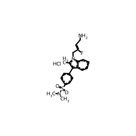 Cc1c(-c2ccc(S(=O)(=O)N(C)C)cc2)c2ccccc2n1C/C(F)=C/CN.Cl